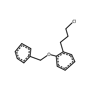 ClCCCc1ccccc1OCc1ccccc1